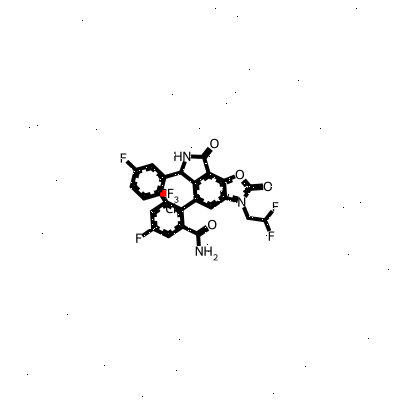 NC(=O)c1cc(F)cc(C(F)(F)F)c1-c1cc2c(oc(=O)n2CC(F)F)c2c1C(c1cc(F)ccc1Cl)NC2=O